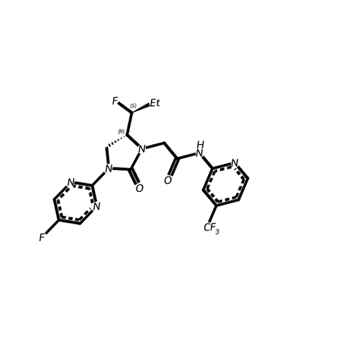 CC[C@H](F)[C@H]1CN(c2ncc(F)cn2)C(=O)N1CC(=O)Nc1cc(C(F)(F)F)ccn1